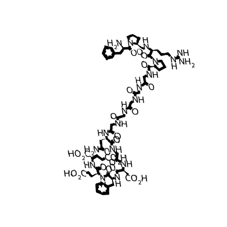 N=C(N)NCCC[C@H](NC(=O)[C@@H]1CCCN1C(=O)[C@H](N)Cc1ccccc1)C(=O)N1CCC[C@H]1C(=O)NCC(=O)NCC(=O)NCC(=O)NCC(=O)NCC(=O)N[C@@H](CC(N)=O)C(=O)NCC(=O)N[C@@H](CC(=O)O)C(=O)N[C@@H](Cc1ccccc1)C(=O)N[C@@H](CCC(=O)O)C(=O)N[C@@H](CCC(=O)O)C(=O)O